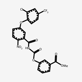 COC(=O)c1cccc(OC(=O)NC(=O)c2cc(Oc3ccc(C(F)(F)F)cc3Cl)ccc2[N+](=O)[O-])c1